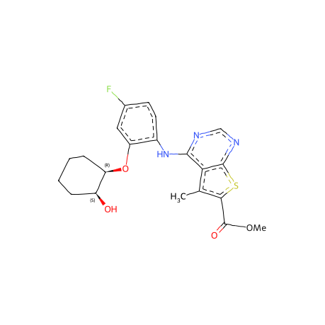 COC(=O)c1sc2ncnc(Nc3ccc(F)cc3O[C@@H]3CCCC[C@@H]3O)c2c1C